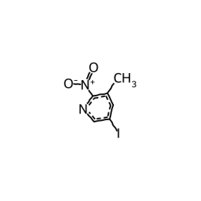 Cc1cc(I)cnc1[N+](=O)[O-]